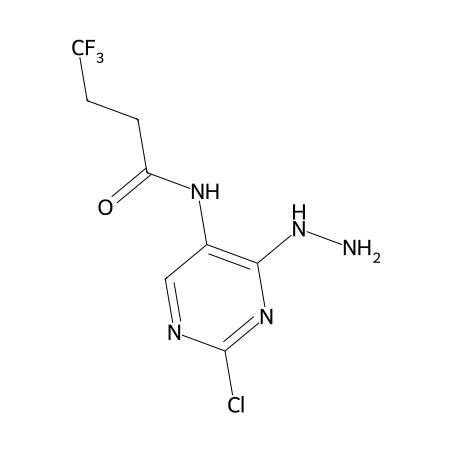 NNc1nc(Cl)ncc1NC(=O)CCC(F)(F)F